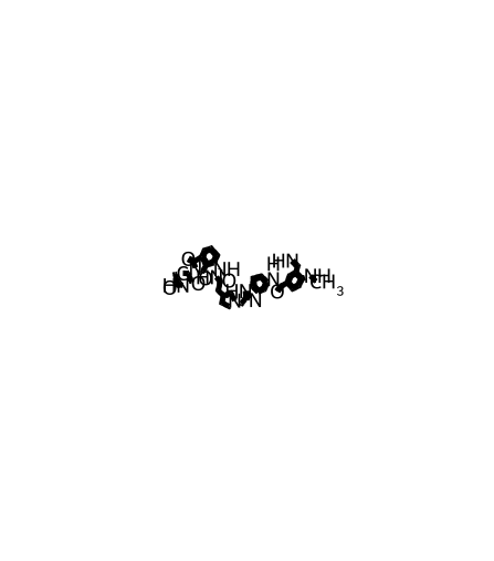 CNc1ccc(C(=O)Nc2ccc3[nH]c(CN4CCC(CC(=O)NNc5cccc6c5C(=O)N(C5CCC(=O)NC5=O)C6=O)C4)nc3c2)cc1C=N